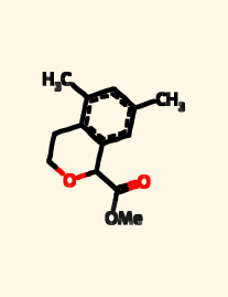 COC(=O)C1OCCc2c(C)cc(C)cc21